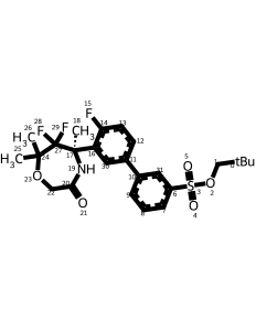 CC(C)(C)COS(=O)(=O)c1cccc(-c2ccc(F)c([C@@]3(C)NC(=O)COC(C)(C)C3(F)F)c2)c1